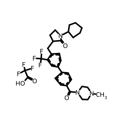 CN1CCN(C(=O)c2ccc(-c3ccc(CC4CCN(C5CCCCC5)C4=O)c(C(F)(F)F)c3)cc2)CC1.O=C(O)C(F)(F)F